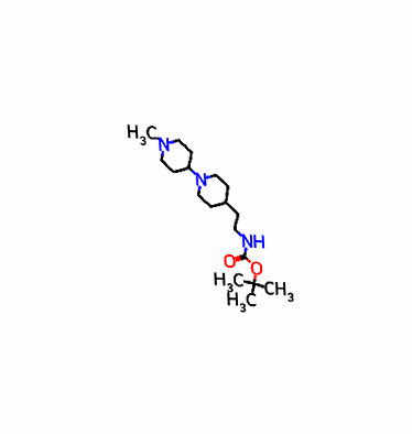 CN1CCC(N2CCC(CCNC(=O)OC(C)(C)C)CC2)CC1